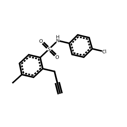 C#CCc1cc(C)ccc1S(=O)(=O)Nc1ccc(Cl)cc1